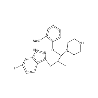 COc1c[c]ccc1OC(C(C)Cc1n[nH]c2cc(F)ccc12)N1CCNCC1